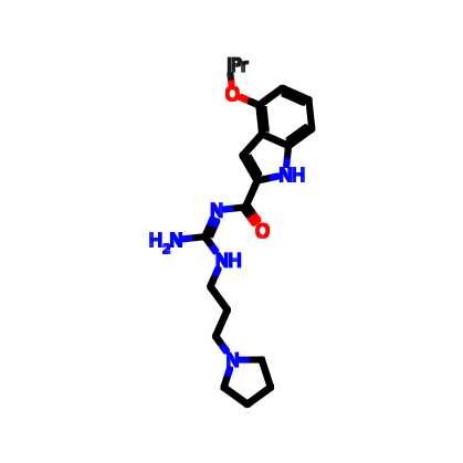 CC(C)Oc1cccc2[nH]c(C(=O)N=C(N)NCCCN3CCCC3)cc12